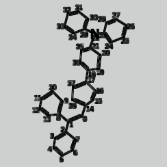 C(=C(c1ccccc1)c1ccccc1)c1ccc(-c2ccc(N(c3ccccc3)c3ccccc3)cc2)cc1